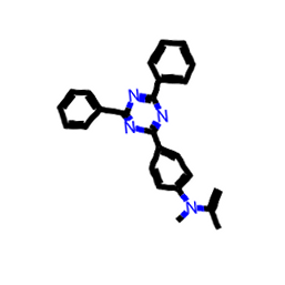 C=C(C)N(C)c1ccc(-c2nc(-c3ccccc3)nc(-c3ccccc3)n2)cc1